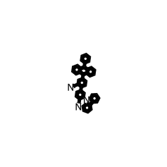 N#Cc1cc(-c2c3ccccc3c(-c3ccccc3)c3ccccc23)ccc1-c1ccc(C#N)c(-n2c3ccccc3c3ccccc32)c1